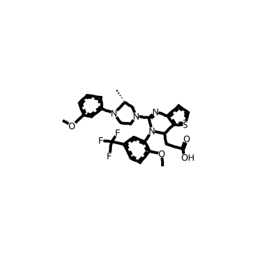 COc1cccc(N2CCN(C3=Nc4ccsc4C(CC(=O)O)N3c3cc(C(F)(F)F)ccc3OC)C[C@H]2C)c1